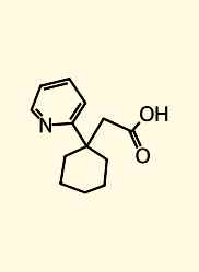 O=C(O)CC1(c2ccccn2)CCCCC1